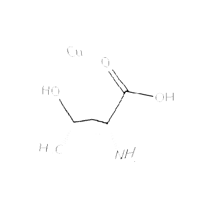 C[C@H](O)[C@@H](N)C(=O)O.[Cu]